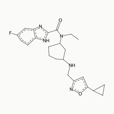 CCN(C(=O)c1nc2cc(F)ccc2[nH]1)C1CCCC(NCc2cc(C3CC3)on2)C1